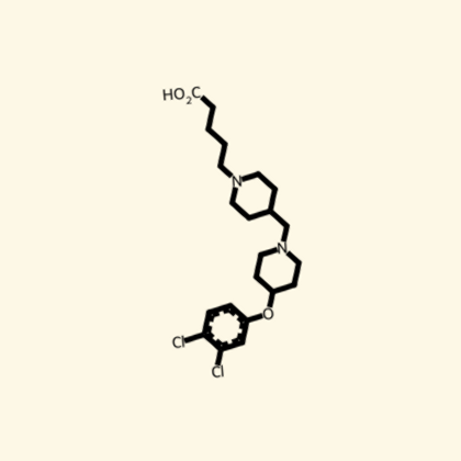 O=C(O)CCCCN1CCC(CN2CCC(Oc3ccc(Cl)c(Cl)c3)CC2)CC1